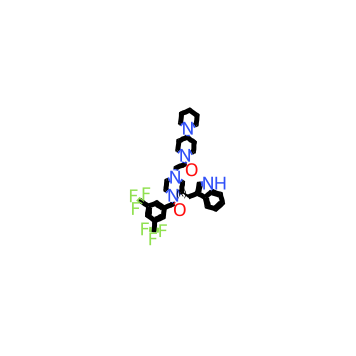 O=C(CN1CCN(C(=O)c2cc(C(F)(F)F)cc(C(F)(F)F)c2)[C@H](Cc2c[nH]c3ccccc23)C1)N1CCC(N2CCCCC2)CC1